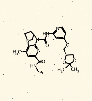 Cc1cc(C(=O)NC(C)C)nc2c1N1CCC(C1)N2C(=O)Nc1cc(OC[C@H]2COC(C)(C)O2)ccn1